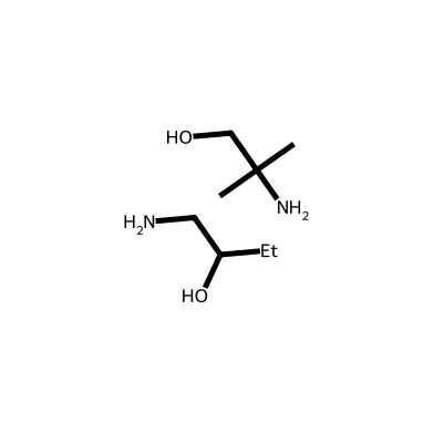 CC(C)(N)CO.CCC(O)CN